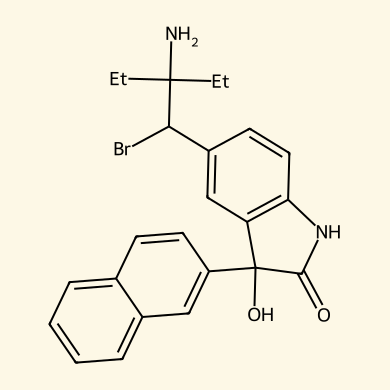 CCC(N)(CC)C(Br)c1ccc2c(c1)C(O)(c1ccc3ccccc3c1)C(=O)N2